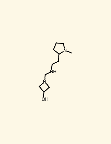 CN1CCCC1CCNCN1CC(O)C1